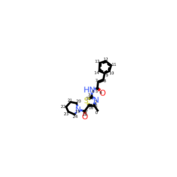 Cc1nc(NC(=O)C=Cc2ccccc2)sc1C(=O)N1CCCCC1